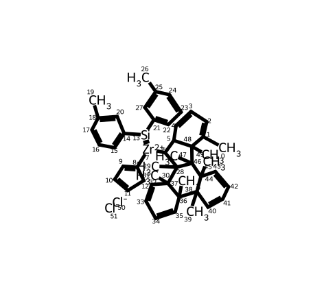 CC1=CC=CC2[CH]([Zr+2]([C]3=CC=CC3)=[Si](c3cccc(C)c3)c3cccc(C)c3)C3(C)C4(C)C=CC=CC4(C)C4(C)C=CC=CC4(C)C3(C)C12C.[Cl-].[Cl-]